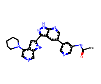 CC(C)(C)C(=O)Nc1cncc(-c2cnc3[nH]nc(-c4cc5c(N6CCCCC6)cncc5[nH]4)c3c2)c1